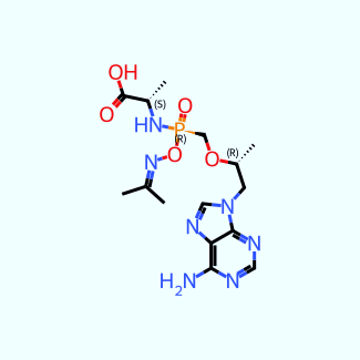 CC(C)=NO[P@](=O)(CO[C@H](C)Cn1cnc2c(N)ncnc21)N[C@@H](C)C(=O)O